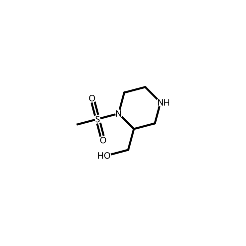 CS(=O)(=O)N1CCNCC1CO